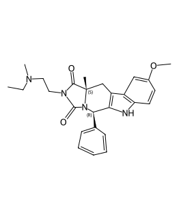 CCN(C)CCN1C(=O)N2[C@H](c3ccccc3)c3[nH]c4ccc(OC)cc4c3C[C@@]2(C)C1=O